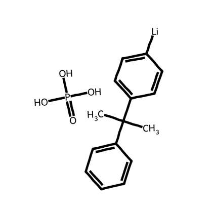 O=P(O)(O)O.[Li][c]1ccc(C(C)(C)c2ccccc2)cc1